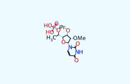 CO[C@H]1[C@@H](OC(C)C)[C@@H](C(C)OP(=O)(O)O)O[C@H]1n1ccc(=O)[nH]c1=O